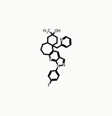 CC1(O)CCC2(Cc3ccccn3)c3cc4cnn(-c5ccc(F)cc5)c4nc3CCCC2C1